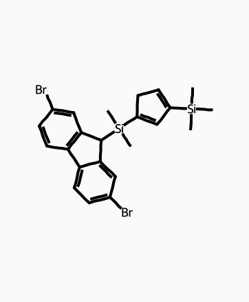 C[Si](C)(C)C1=CCC([Si](C)(C)C2c3cc(Br)ccc3-c3ccc(Br)cc32)=C1